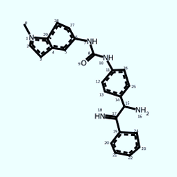 Cn1ccc2cc(NC(=O)Nc3ccc(C(N)C(=N)c4ccccc4)cc3)ccc21